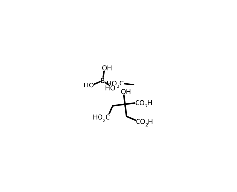 CC(=O)O.O=C(O)CC(O)(CC(=O)O)C(=O)O.OB(O)O